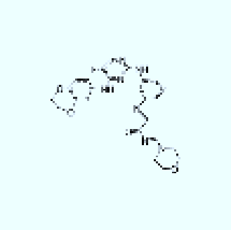 O=C(/C=N/c1cccc(Nc2ncc(F)c(Nc3ccc4c(c3)OCCO4)n2)c1)/N=C/N1CCOCC1